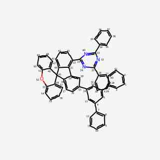 c1ccc(-c2cc(-c3ccccc3)cc(-c3ccc4c(c3)-c3c(-c5nc(-c6ccccc6)nc(-c6ccccc6)n5)cccc3C43c4ccccc4Oc4ccccc43)c2)cc1